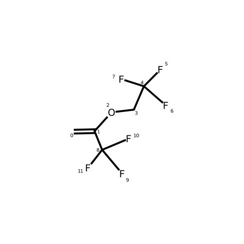 C=C(OCC(F)(F)F)C(F)(F)F